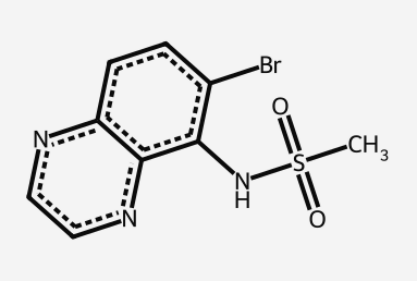 CS(=O)(=O)Nc1c(Br)ccc2nccnc12